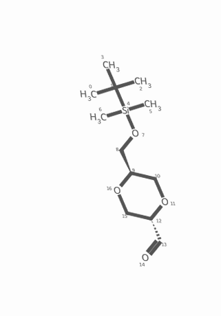 CC(C)(C)[Si](C)(C)OC[C@H]1CO[C@H](C=O)CO1